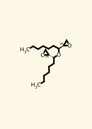 CCCCCCC(OC(CCCCCC)[C@H]1CO1)[C@H]1CO1